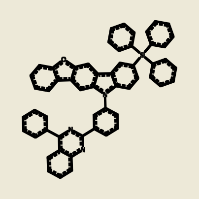 c1ccc(-c2nc(-c3cccc(-n4c5ccc([Si](c6ccccc6)(c6ccccc6)c6ccccc6)cc5c5cc6oc7ccccc7c6cc54)c3)nc3ccccc23)cc1